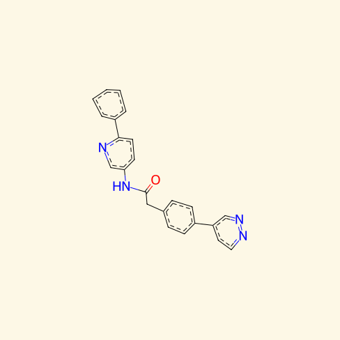 O=C(Cc1ccc(-c2ccnnc2)cc1)Nc1ccc(-c2ccccc2)nc1